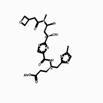 COC(=O)CC[C@H](Cc1nc(C)cs1)NC(=O)c1csc([C@@H](CC(C(C)C)N(C)C(=O)CC2COC2)OC(C)=O)n1